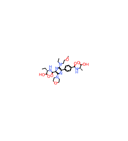 CC[C@@H](NC(=O)c1nc(N(CC)CCOC)c(-c2ccc(C(=O)N[C@H](C)C(=O)O)cc2)nc1N1CCOCC1)C(=O)O